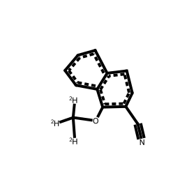 [2H]C([2H])([2H])Oc1c(C#N)ccc2ccccc12